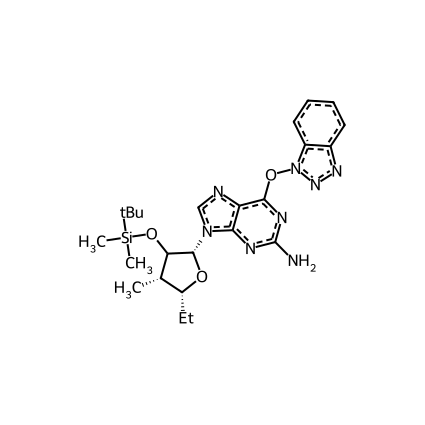 CC[C@H]1O[C@@H](n2cnc3c(On4nnc5ccccc54)nc(N)nc32)C(O[Si](C)(C)C(C)(C)C)[C@H]1C